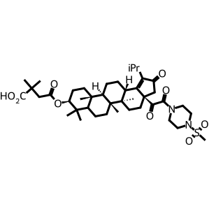 CC(C)C1=C2[C@H]3CC[C@@H]4[C@@]5(C)CC[C@H](OC(=O)CC(C)(C)C(=O)O)C(C)(C)C5CC[C@@]4(C)[C@]3(C)CC[C@@]2(C(=O)C(=O)N2CCN(S(C)(=O)=O)CC2)CC1=O